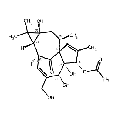 CCCC(=O)O[C@H]1C(C)=C[C@]23C(=O)[C@@H](C=C(CO)[C@@H](O)[C@]12O)[C@@H]1C(C)(C)[C@]1(O)C[C@H]3C